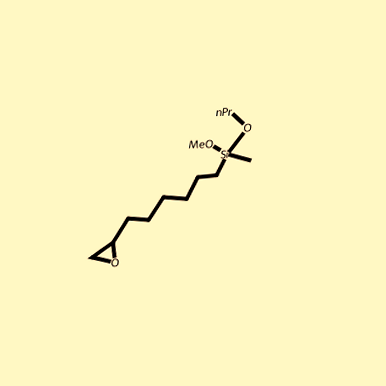 CCCO[Si](C)(CCCCCCC1CO1)OC